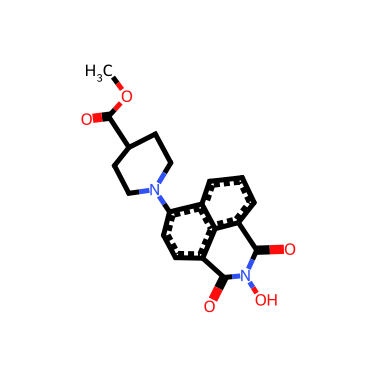 COC(=O)C1CCN(c2ccc3c4c(cccc24)C(=O)N(O)C3=O)CC1